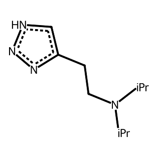 CC(C)N(CCc1c[nH]nn1)C(C)C